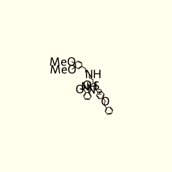 COc1ccc(CCNCCC2SC(c3ccc(OCc4ccccc4)cc3)N(c3ccccc3C(N)=O)C2=O)cc1OC